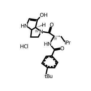 CC(C)C[C@H](NC(=O)c1ccc(C(C)(C)C)cc1)C(=O)N1CCC2NC=C(O)[C@H]21.Cl